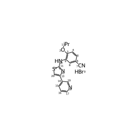 Br.CC(C)Oc1ccc(C#N)cc1Nc1nc(-c2cccnc2)cs1